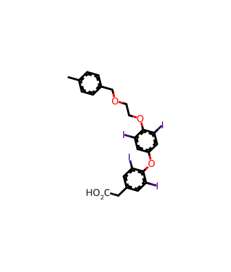 Cc1ccc(COCCOc2c(I)cc(Oc3c(I)cc(CC(=O)O)cc3I)cc2I)cc1